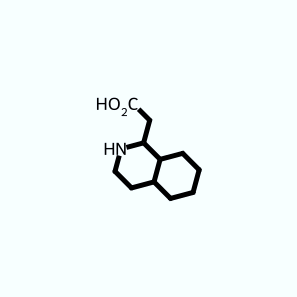 O=C(O)CC1NCCC2CCCCC21